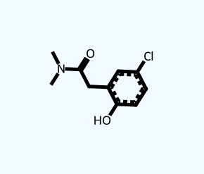 CN(C)C(=O)Cc1cc(Cl)ccc1O